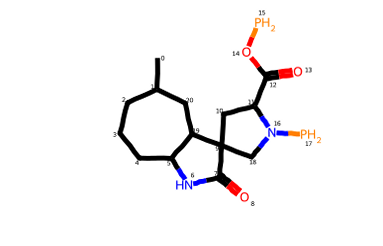 CC1CCCC2NC(=O)C3(CC(C(=O)OP)N(P)C3)C2C1